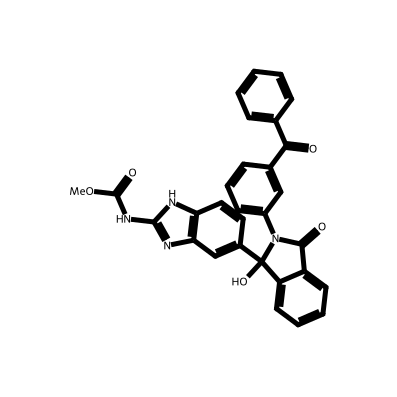 COC(=O)Nc1nc2cc(C3(O)c4ccccc4C(=O)N3c3cccc(C(=O)c4ccccc4)c3)ccc2[nH]1